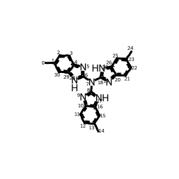 Cc1ccc2nc(N(c3nc4ccc(C)cc4[nH]3)c3nc4ccc(C)cc4[nH]3)[nH]c2c1